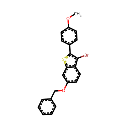 COc1ccc(-c2sc3cc(OCc4ccccc4)ccc3c2Br)cc1